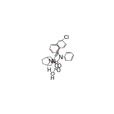 O=C(O)[C@@H]1[C@H]2CCC(CN1C(=O)N(c1ccccc1)c1ccccc1)N2C(=O)C#Cc1ccc(Cl)cc1